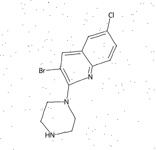 Clc1ccc2nc(N3CCNCC3)c(Br)cc2c1